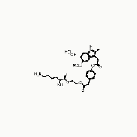 COc1ccc2[nH]c(C)c(CC(=O)Oc3ccc(CC(=O)OCCOC(=O)C(N)CCCCN)cc3)c2c1.Cl.Cl